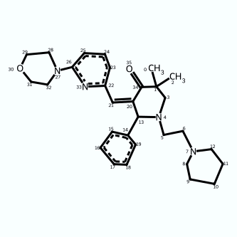 CC1(C)CN(CCN2CCCCC2)C(c2ccccc2)/C(=C/c2cccc(N3CCOCC3)n2)C1=O